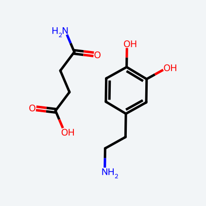 NC(=O)CCC(=O)O.NCCc1ccc(O)c(O)c1